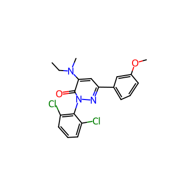 CCN(C)c1cc(-c2cccc(OC)c2)nn(-c2c(Cl)cccc2Cl)c1=O